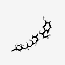 Cc1cc(NC(=O)Cc2ncc(Oc3ccnc4ccc(F)cc34)cn2)no1